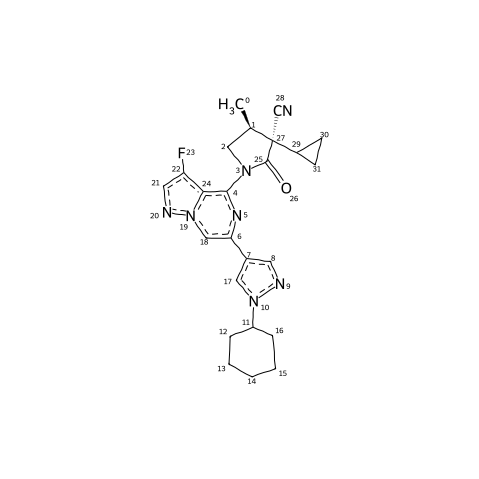 C[C@@H]1CN(c2nc(-c3cnn(C4CCCCC4)c3)cn3ncc(F)c23)C(=O)[C@]1(C#N)C1CC1